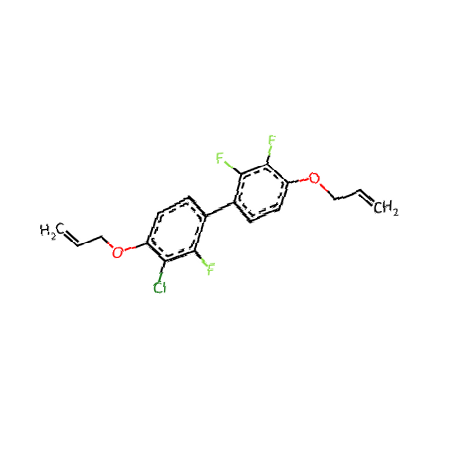 C=CCOc1ccc(-c2ccc(OCC=C)c(Cl)c2F)c(F)c1F